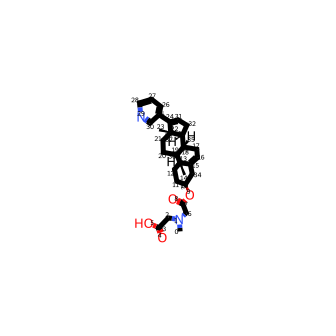 CN(CC(=O)O)CC(=O)O[C@H]1CC[C@@]2(C)C(=CC[C@@H]3[C@@H]2CC[C@]2(C)C(c4cccnc4)=CC[C@@H]32)C1